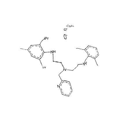 Cc1cc(C(C)C)c(NCCN(CCNc2c(C)cccc2C)Cc2ccccn2)c(C(C)C)c1.[Cl-].[Cl-].[Co+2]